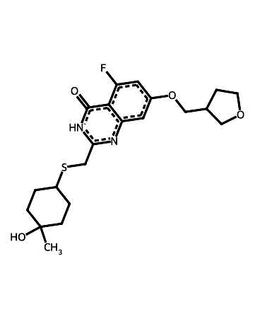 CC1(O)CCC(SCc2nc3cc(OCC4CCOC4)cc(F)c3c(=O)[nH]2)CC1